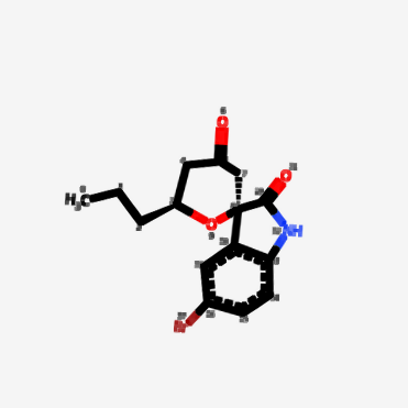 CCC[C@H]1CC(=O)C[C@]2(O1)C(=O)Nc1ccc(Br)cc12